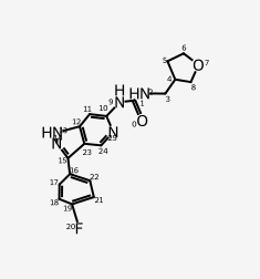 O=C(NCC1CCOC1)Nc1cc2[nH]nc(-c3ccc(F)cc3)c2cn1